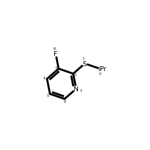 CC(C)Sc1ncccc1F